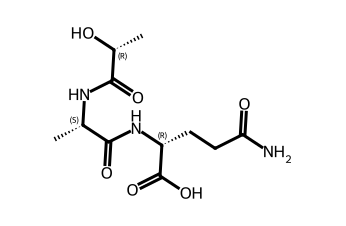 C[C@H](NC(=O)[C@@H](C)O)C(=O)N[C@H](CCC(N)=O)C(=O)O